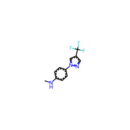 CNc1ccc(-n2cc(C(F)(F)F)cn2)cc1